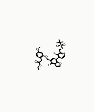 CCOC(=O)Cc1ccc(OC)cc1OCc1cc(-c2ccnc(C=NS(=O)(=O)C(C)(C)C)c2F)c2occc2c1F